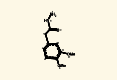 COc1ccc(CC(=O)NN)cc1OC